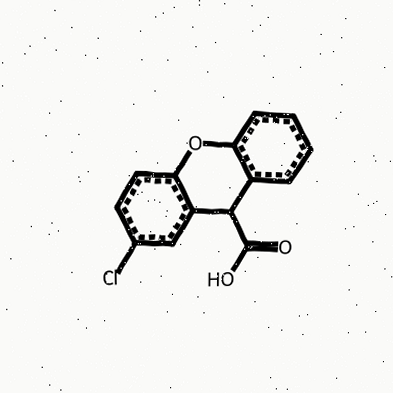 O=C(O)C1c2ccccc2Oc2ccc(Cl)cc21